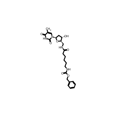 Cc1cn([C@H]2C[C@H](O)[C@@H](CNC(=O)CCCCCNC(=O)OCc3ccccc3)O2)c(=O)[nH]c1=O